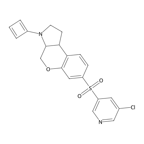 O=S(=O)(c1cncc(Cl)c1)c1ccc2c(c1)OCC1C2CCN1C1=CC=C1